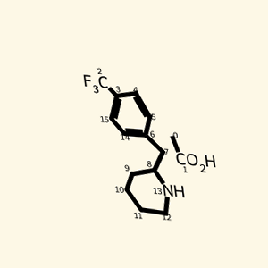 CC(=O)O.FC(F)(F)c1ccc(CC2CCCCN2)cc1